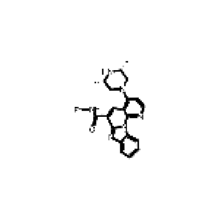 CCNC(=O)c1cc2c(N3C[C@@H](C)N[C@@H](C)C3)ccnc2n2c1nc1ccccc12